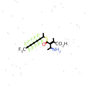 CC(C(=O)O)=C(C(=O)SC(C)C(F)(F)C(F)(F)C(F)(F)C(F)(F)C(F)(F)C(F)(F)F)C(C)N